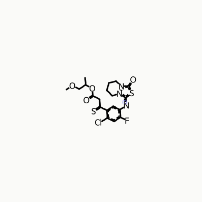 COCC(C)OC(=O)CC(=S)c1cc(/N=c2/sc(=O)n3n2CCCC3)c(F)cc1Cl